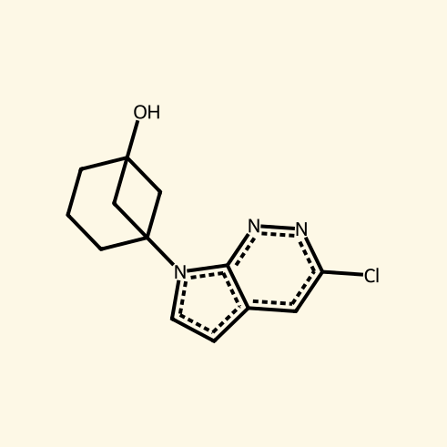 OC12CCCC(n3ccc4cc(Cl)nnc43)(C1)C2